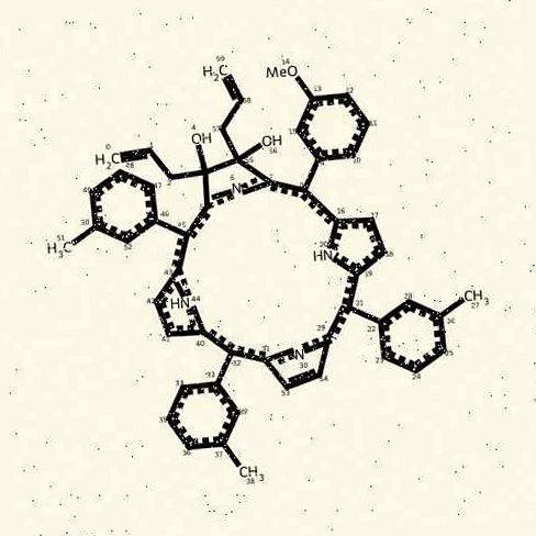 C=CCC1(O)c2nc(c(-c3cccc(OC)c3)c3ccc([nH]3)c(-c3cccc(C)c3)c3nc(c(-c4cccc(C)c4)c4ccc([nH]4)c2-c2cccc(C)c2)C=C3)C1(O)CC=C